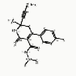 CCCCCCC#CC1(C(F)(F)F)CC(c2ccc(C)cc2)=C(C(=O)N[S+](C)[O-])C(=O)N1